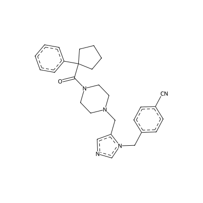 N#Cc1ccc(Cn2cncc2CN2CCN(C(=O)C3(c4ccccc4)CCCC3)CC2)cc1